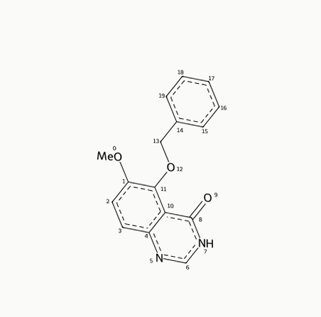 COc1ccc2nc[nH]c(=O)c2c1OCc1ccccc1